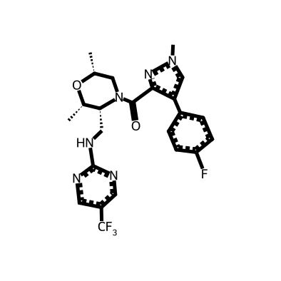 C[C@@H]1CN(C(=O)c2nn(C)cc2-c2ccc(F)cc2)[C@H](CNc2ncc(C(F)(F)F)cn2)[C@H](C)O1